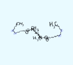 CCCCC/C=C\C/C=C\CCCCCCCC(=O)OCCCN(C)CCSCSCCN(C)CCCOC(=O)CCCCCCC/C=C\C/C=C\CCCCC